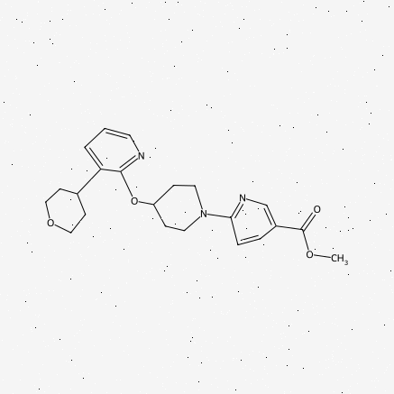 COC(=O)c1ccc(N2CCC(Oc3ncccc3C3CCOCC3)CC2)nc1